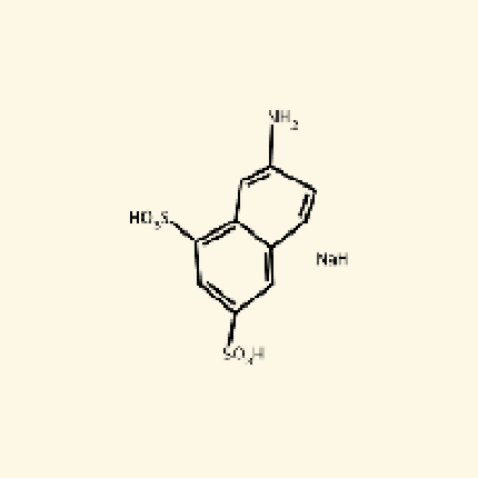 Nc1ccc2cc(S(=O)(=O)O)cc(S(=O)(=O)O)c2c1.[NaH]